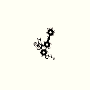 Cc1ccc([C@H]2OC(=O)N[C@@H]2c2cccc(C#Cc3ccccc3)c2)cc1